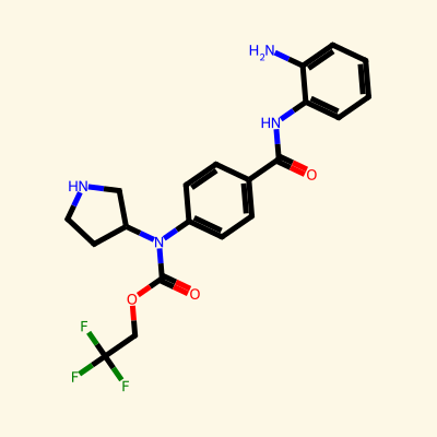 Nc1ccccc1NC(=O)c1ccc(N(C(=O)OCC(F)(F)F)C2CCNC2)cc1